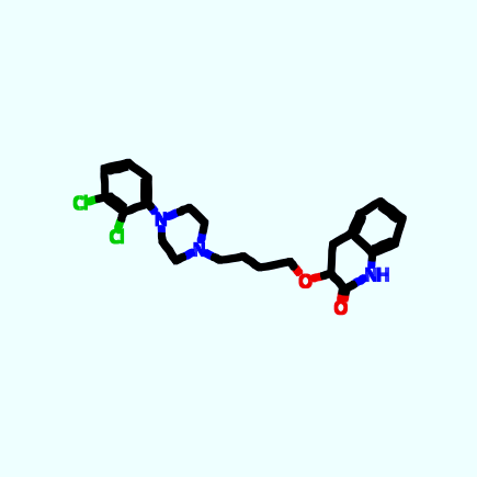 O=C1Nc2ccccc2CC1OCCCCN1CCN(c2cccc(Cl)c2Cl)CC1